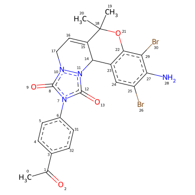 CC(=O)c1ccc(-n2c(=O)n3n(c2=O)C2C(=CC3)C(C)(C)Oc3c2cc(Br)c(N)c3Br)cc1